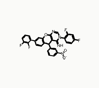 N=c1c2c(ncn1-c1ccc(F)cc1F)Oc1cc(-c3cccc(F)c3F)ccc1C2c1cccc([N+](=O)[O-])c1